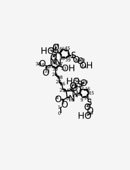 CCOC(=O)C1=NN(c2cc(SOOO)ccc2S(=O)(=O)O)C(=O)/C1=C\C=CC=Cc1c(C(=O)OC)nn(-c2cc(SOOO)ccc2S(=O)(=O)O)c1O